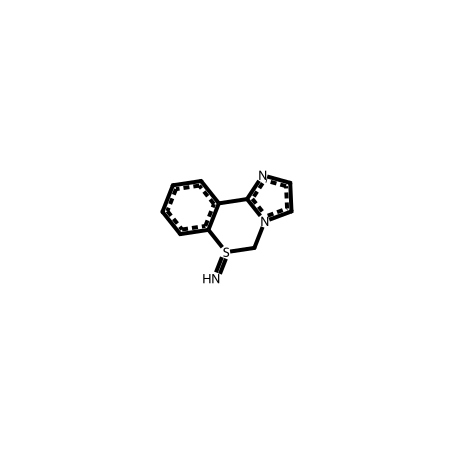 N=S1Cn2ccnc2-c2ccccc21